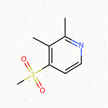 Cc1nccc(S(C)(=O)=O)c1C